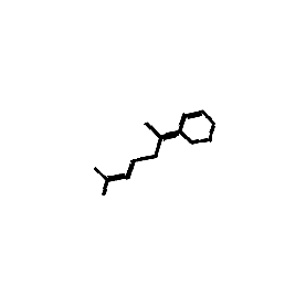 CC(C)=CCCC(C)=C1C=CCCC1